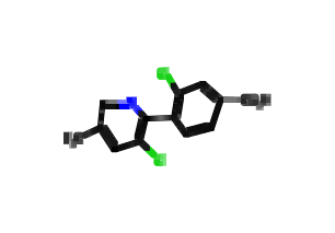 O=C(O)c1ccc(-c2ncc(C(F)(F)F)cc2Cl)c(Cl)c1